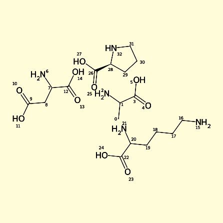 CC(N)C(=O)O.NC(CC(=O)O)C(=O)O.NCCCCC(N)C(=O)O.O=C(O)[C@@H]1CCCN1